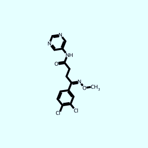 CON=C(CCC(=O)Nc1cncnc1)c1ccc(Cl)c(Cl)c1